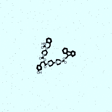 O=C(OCC1c2ccccc2-c2ccccc21)N1CCN(C2CCN(C(=O)C(Cc3ccc(O)cc3)OC(=O)N3CCC(N4CCc5ccccc5NC4=O)CC3)CC2)CC1